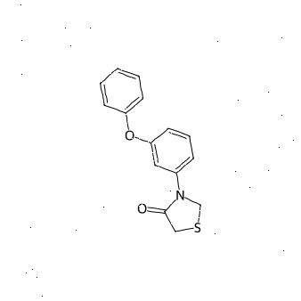 O=C1CSCN1c1cccc(Oc2ccccc2)c1